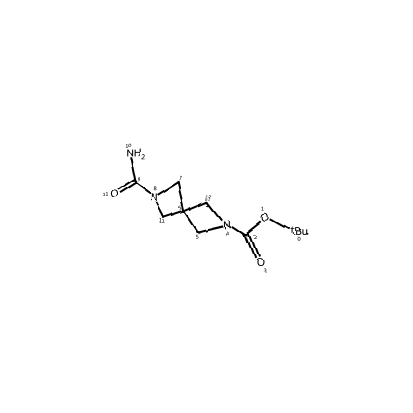 CC(C)(C)OC(=O)N1CC2(CN(C(N)=O)C2)C1